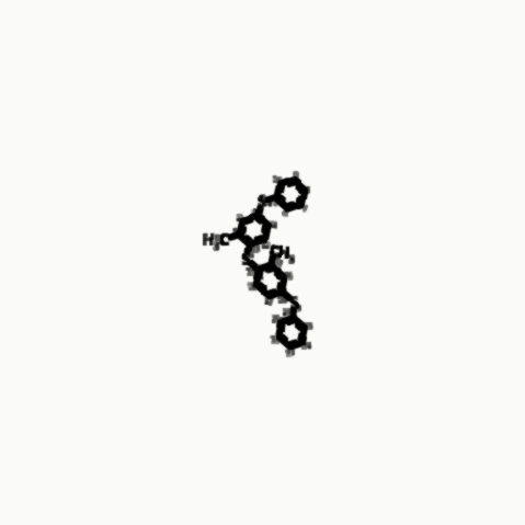 Cc1cc(Sc2ccccc2)ccc1Sc1ccc(Sc2ccccc2)cc1C